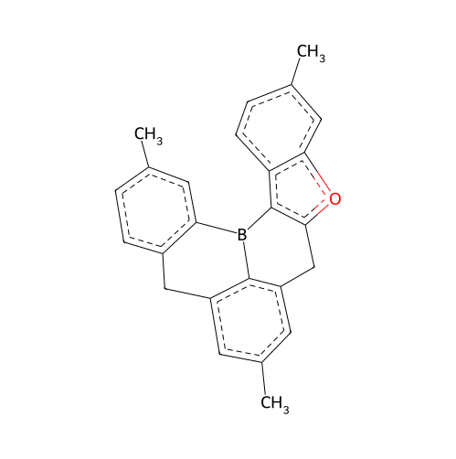 Cc1cc2c3c(c1)Cc1oc4cc(C)ccc4c1B3c1cc(C)ccc1C2